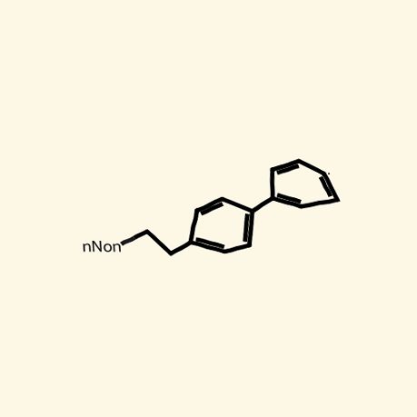 CCCCCCCCCCCc1ccc(-c2cc[c]cc2)cc1